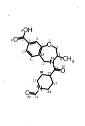 CC1COc2cc(C(=O)O)ccc2CN1C(=O)C1CCN(C=O)CC1